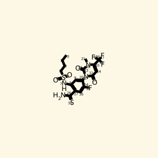 CCCCS(=O)(=O)Nc1cc(-n2c(=O)cc(C(F)(F)F)n(C)c2=O)c(F)cc1C(N)=S